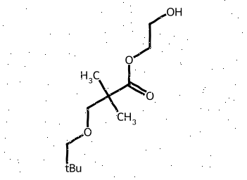 CC(C)(C)COCC(C)(C)C(=O)OCCO